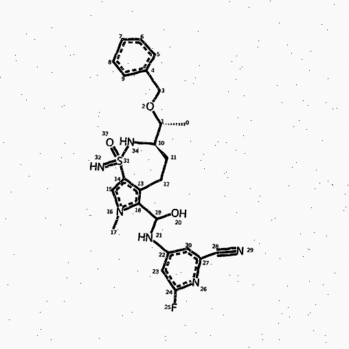 C[C@@H](OCc1ccccc1)[C@H]1CCc2c(cn(C)c2C(O)Nc2cc(F)nc(C#N)c2)S(=N)(=O)N1